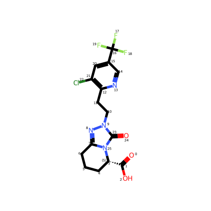 O=C(O)[C@@H]1CCCc2nn(CCc3ncc(C(F)(F)F)cc3Cl)c(=O)n21